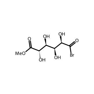 COC(=O)[C@@H](O)[C@@H](O)[C@H](O)[C@@H](O)C(=O)Br